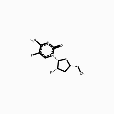 Nc1nc(=O)n([C@@H]2O[C@H](CO)C[C@@H]2F)cc1F